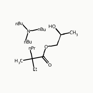 CCCC(C)(CC)C(=O)OCC(C)O.CCCCN(CCCC)CCCC